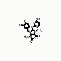 CN1c2c(n(C)c(=O)[nH]c2=O)N(Cc2ccc(Cl)c(Cl)c2)C1Nc1nccc(O)n1